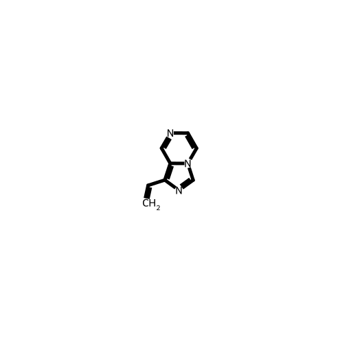 C=Cc1ncn2ccncc12